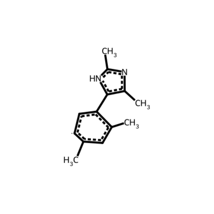 Cc1[c]cc(-c2[nH]c(C)nc2C)c(C)c1